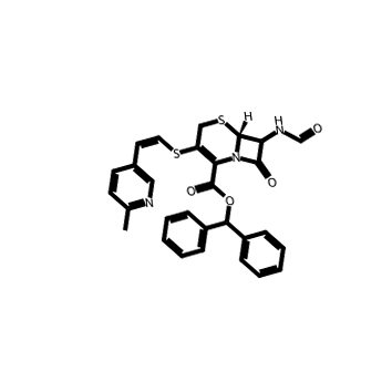 Cc1ccc(/C=C\SC2=C(C(=O)OC(c3ccccc3)c3ccccc3)N3C(=O)C(NC=O)[C@H]3SC2)cn1